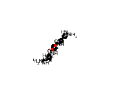 N=C(N)NCc1ccc(NC(=O)C23CCC(C(=O)Nc4ccc(C5=CCN(C(=N)N)CC5)cc4)(CC2)CC3)cc1F